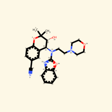 CC1(C)Oc2ccc(C#N)cc2[C@H](N(CCN2CCOCC2)c2nc3ccccc3o2)[C@H]1O